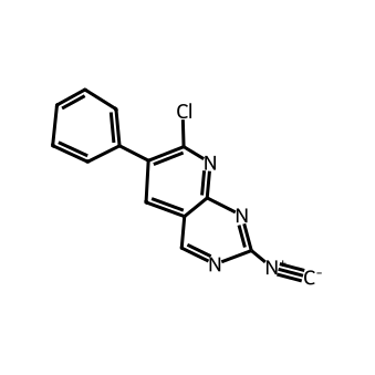 [C-]#[N+]c1ncc2cc(-c3ccccc3)c(Cl)nc2n1